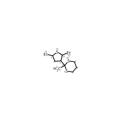 CCC1CC(C2(C)SCCCS2)C(CC)S1